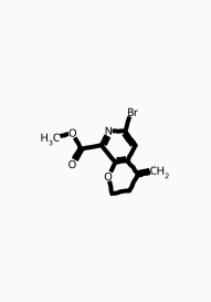 C=C1CCOc2c1cc(Br)nc2C(=O)OC